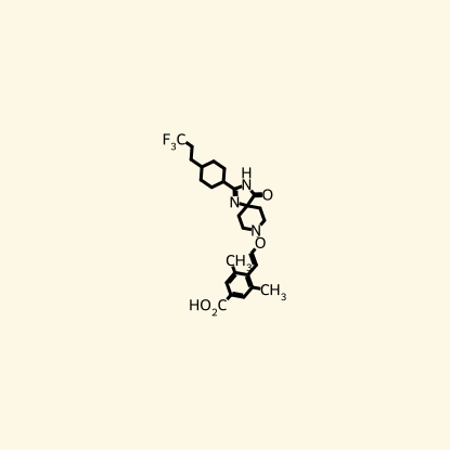 Cc1cc(C(=O)O)cc(C)c1/C=C/ON1CCC2(CC1)N=C(C1CCC(CCC(F)(F)F)CC1)NC2=O